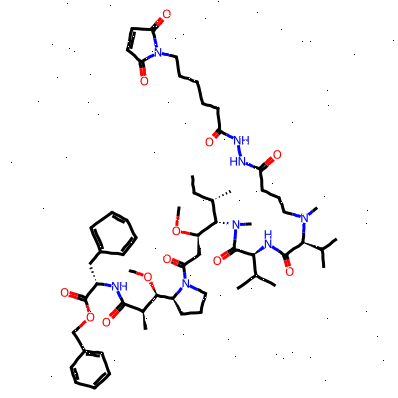 CC[C@H](C)[C@@H]([C@@H](CC(=O)N1CCC[C@H]1[C@H](OC)[C@@H](C)C(=O)N[C@@H](Cc1ccccc1)C(=O)OCc1ccccc1)OC)N(C)C(=O)[C@@H](NC(=O)[C@H](C(C)C)N(C)CCCC(=O)NNC(=O)CCCCCN1C(=O)C=CC1=O)C(C)C